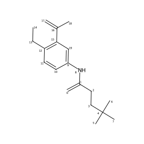 C=C(CCC(C)(C)C)Nc1ccc(CC)c(C(=C)C)c1